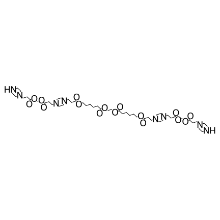 O=C(CCCCCOC(=O)CCN1CCN(CCC(=O)OCOC(=O)CCN2CCNCC2)CC1)OCCOC(=O)CCCCCOC(=O)CCN1CCN(CCC(=O)OCOC(=O)CCN2CCNCC2)CC1